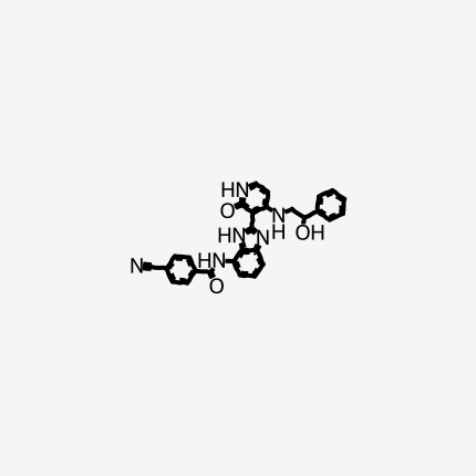 N#Cc1ccc(C(=O)Nc2cccc3nc(-c4c(NCC(O)c5ccccc5)cc[nH]c4=O)[nH]c23)cc1